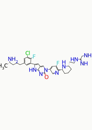 C[C@H](N)CCCc1cc(Cl)c(F)c(-c2cc3cn(-c4cnc([C@@H]5CCC[C@@H](CCNC(=N)CN)N5)c(F)c4)c(=O)nc3[nH]2)c1